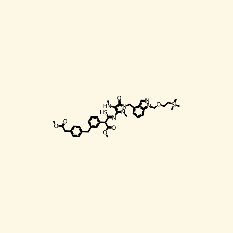 CNc1c(/N=C(\S)C(C(=O)OC)c2cccc(Cc3ccc(CC(=O)OC)cc3)c2)n(C)n(Cc2cccc3c2cnn3COCC[Si](C)(C)C)c1=O